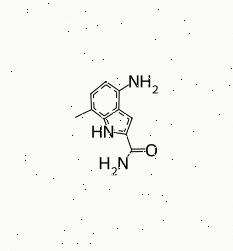 Cc1ccc(N)c2cc(C(N)=O)[nH]c12